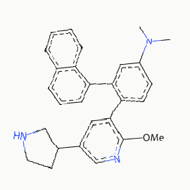 COc1ncc(C2CCNC2)cc1-c1ccc(N(C)C)cc1-c1cccc2ccccc12